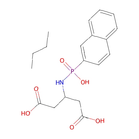 CCCC.O=C(O)CC(CC(=O)O)NP(=O)(O)c1ccc2ccccc2c1